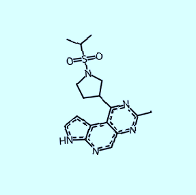 Cc1nc(C2CCN(S(=O)(=O)C(C)C)C2)c2c(cnc3[nH]ccc32)n1